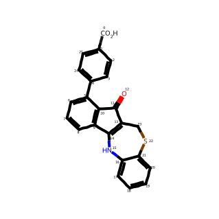 O=C(O)c1ccc(-c2cccc3c2C(=O)C2=C3Nc3ccccc3SC2)cc1